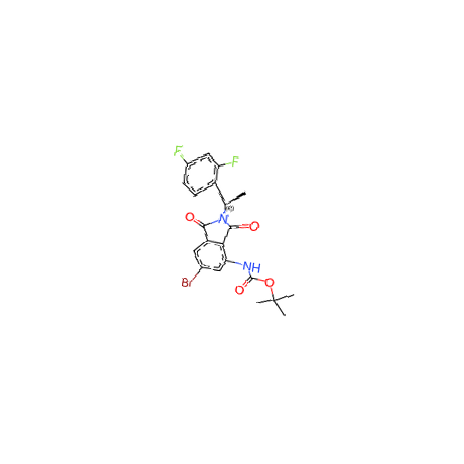 C[C@H](c1ccc(F)cc1F)N1C(=O)c2cc(Br)cc(NC(=O)OC(C)(C)C)c2C1=O